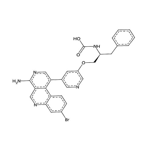 Nc1ncc(-c2cncc(OC[C@H](Cc3ccccc3)NC(=O)O)c2)c2c1cnc1cc(Br)ccc12